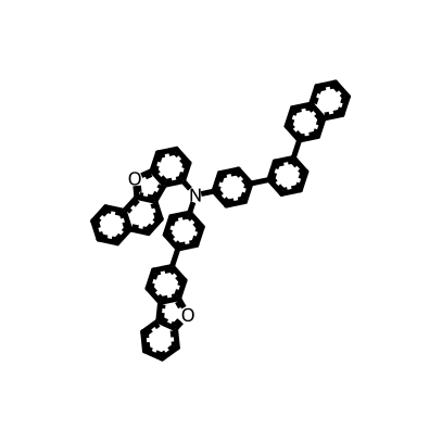 c1cc(-c2ccc(N(c3ccc(-c4ccc5c(c4)oc4ccccc45)cc3)c3cccc4oc5c6ccccc6ccc5c34)cc2)cc(-c2ccc3ccccc3c2)c1